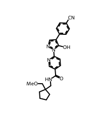 COCC1(CNC(=O)c2ccc(-n3ncc(-c4ccc(C#N)cc4)c3O)nc2)CCCC1